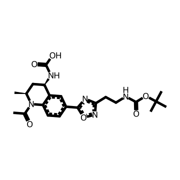 CC(=O)N1c2ccc(-c3nc(CCNC(=O)OC(C)(C)C)no3)cc2[C@H](NC(=O)O)C[C@@H]1C